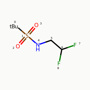 CC(C)(C)S(=O)(=O)NCC(F)F